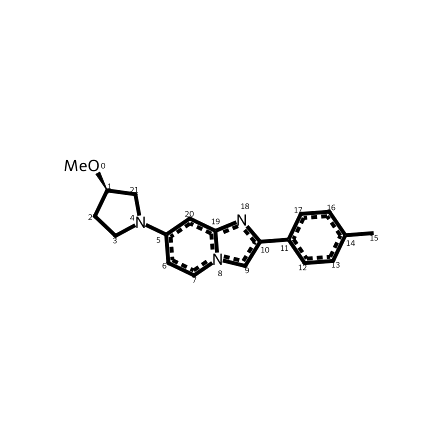 CO[C@@H]1CCN(c2ccn3cc(-c4ccc(C)cc4)nc3c2)C1